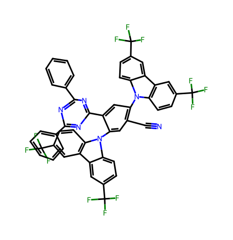 N#Cc1cc(-n2c3ccc(C(F)(F)F)cc3c3cc(C(F)(F)F)ccc32)c(-c2nc(-c3ccccc3)nc(-c3ccccc3)n2)cc1-n1c2ccc(C(F)(F)F)cc2c2cc(C(F)(F)F)ccc21